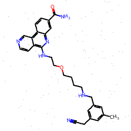 Cc1cc(CC#N)cc(CNCCCCOCCNc2nc3cc(C(N)=O)ccc3c3cnccc23)c1